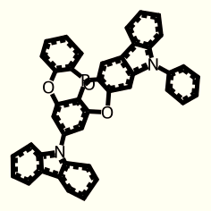 O=P12c3ccccc3Oc3cc(-n4c5ccccc5c5ccccc54)cc(c31)Oc1cc3c(cc12)c1ccccc1n3-c1ccccc1